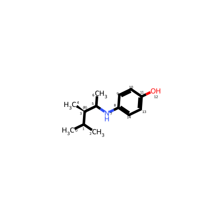 CC(C)[C@@H](C)C(C)Nc1ccc(O)cc1